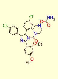 CCOc1ccc(C2=NC(c3ccc(Cl)cc3)C(c3ccc(Cl)cc3)N2C(=O)N2CCN(OC(N)=O)CC2)c(OCC)c1